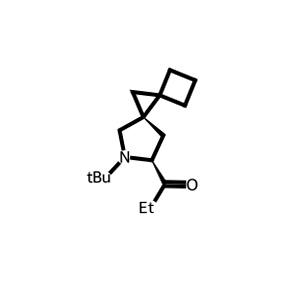 CCC(=O)[C@@H]1C[C@@]2(CN1C(C)(C)C)CC21CCC1